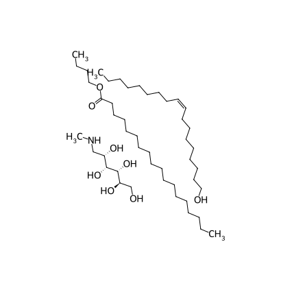 CCCCCCCC/C=C\CCCCCCCCO.CCCCCCCCCCCCCCCCCC(=O)OCCCC.CNC[C@H](O)[C@@H](O)[C@H](O)[C@H](O)CO